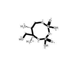 C[C@@H]1COP(=O)(O)OP(=O)(O)O[C@@]1(C)CO